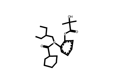 CCC(CC)CN(C(=O)C1CCCCC1)c1ccccc1SC(=O)C(C)(C)O